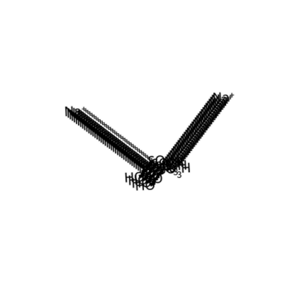 O=S(=O)(O)CCOCCO.O=S(=O)(O)CCOCCO.O=S(=O)(O)CCOCCO.O=S(=O)(O)CCOCCO.[Na+].[Na+].[Na+].[Na+].[Na+].[Na+].[Na+].[Na+].[Na+].[Na+].[Na+].[Na+].[Na+].[Na+].[Na+].[Na+].[Na+].[Na+].[Na+].[Na+].[Na+].[Na+].[Na+].[Na+].[Na+].[Na+].[Na+].[Na+].[Na+].[Na+].[Na+].[Na+].[Na+].[Na+].[Na+].[Na+].[Na+].[Na+].[Na+].[Na+].[Na+].[Na+].[Na+].[Na+].[Na+].[Na+].[Na+].[Na+].[Na+].[Na+].[Na+].[Na+].[Na+].[Na+].[Na+].[Na+].[Na+].[Na+].[Na+].[Na+].[Na+].[Na+].[Na+].[Na+].[Na+].[Na+].[Na+].[Na+].[Na+].[Na+].[Na+].[Na+]